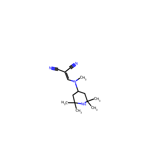 CN(C=C(C#N)C#N)C1CC(C)(C)NC(C)(C)C1